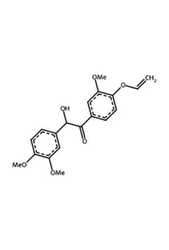 C=COc1ccc(C(=O)C(O)c2ccc(OC)c(OC)c2)cc1OC